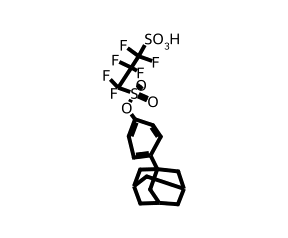 O=S(=O)(O)C(F)(F)C(F)(F)C(F)(F)S(=O)(=O)Oc1ccc(C23CC4CC(CC(C4)C2)C3)cc1